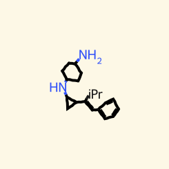 CC(C)/C(=C\c1ccccc1)C1CC1NC1CCC(N)CC1